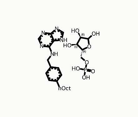 CCCCCCCCc1ccc(CNc2ncnc3nc[nH]c23)cc1.O=P(O)(O)OC[C@H]1OC(O)[C@H](O)[C@@H]1O